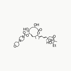 CCC(O)C(C)C1OC1CC(C)(O)/C=C/C=C(\C)C1OC(=O)CC(O)CCC(C)(O)C(OC(=O)N2CCN(C3CCOCC3)CC2)/C=C/C1C